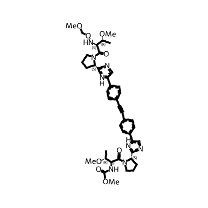 COCON[C@H](C(=O)N1CCC[C@H]1c1ncc(-c2ccc(C#Cc3ccc(-c4cnc([C@@H]5CCCN5C(=O)[C@@H](NC(=O)OC)[C@@H](C)OC)[nH]4)cc3)cc2)[nH]1)[C@@H](C)OC